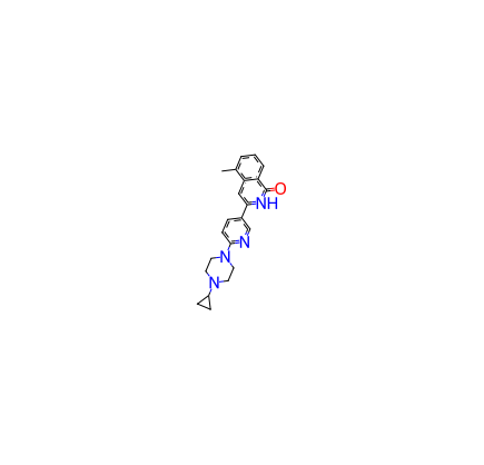 Cc1cccc2c(=O)[nH]c(-c3ccc(N4CCN(C5CC5)CC4)nc3)cc12